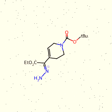 CCOC(=O)/C(=N\N)C1=CCN(C(=O)OC(C)(C)C)CC1